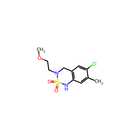 COCCN1Cc2cc(Cl)c(C)cc2NS1(=O)=O